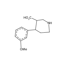 COc1cccc(C2CCNCC2C(=O)O)c1